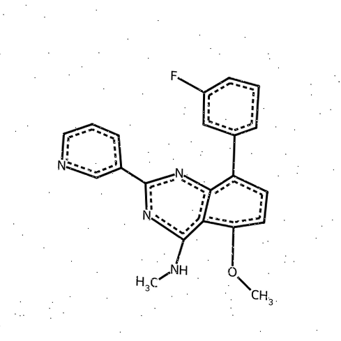 CNc1nc(-c2cccnc2)nc2c(-c3cccc(F)c3)ccc(OC)c12